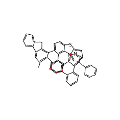 Cc1cc2c(c(-c3ccc4sc5ccccc5c4c3-c3ccccc3-c3nnnc(-c4ccccc4)c3-c3ccccc3-c3ccccc3)c1C)Cc1ccccc1-2